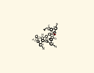 CC1(Cn2cc(-c3ccc(C#N)nc3-c3ccc4c(c3)C(=O)NC4C3CCCC3(C)Cn3cc(-c4ccc(C#N)nc4-c4ccc5c(c4)C(=O)N(C4CC4)C5C4CCCC4(C)Cn4cc(-c5ccc(C#N)nc5-c5ccc6c(c5)C(=O)N(CC5CC5)C6)cn4)cn3)cn2)CCCC1